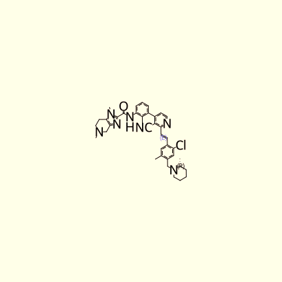 Cc1cc(/C=C/c2nccc(-c3cccc(NC(=O)c4nc5c(n4C)CCN(C)C5)c3C)c2C#N)c(Cl)cc1CN1CCCC[C@H]1C